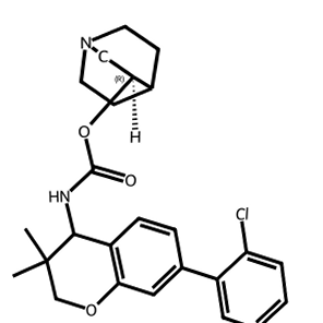 CC1(C)COc2cc(-c3ccccc3Cl)ccc2C1NC(=O)O[C@H]1CN2CCC1CC2